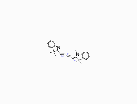 CN1\C(=C/C=C/C=C/C2=Nc3ccccc3C2(C)C)C(C)(C)c2ccccc21